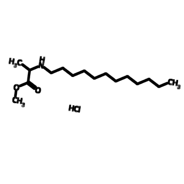 CCCCCCCCCCCCNC(C)C(=O)OC.Cl